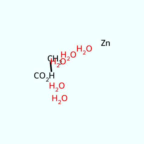 CC(=O)O.O.O.O.O.O.[Zn]